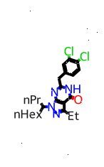 CCCCCCC(CCC)n1nc(CC)c2c(=O)[nH]c(Cc3ccc(Cl)c(Cl)c3)nc21